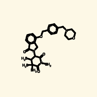 BC1C(N2Cc3c(OCc4ccc(CN5CCOCC5)cc4)cccc3C2=O)C(=O)N(B)C(=O)C1(B)B